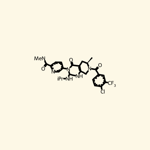 CNC(=O)c1ccc(N2C(=O)C3=C(CN(C(=O)c4ccc(Cl)c(C(F)(F)F)c4)[C@H](C)C3)NC2NC(C)C)cn1